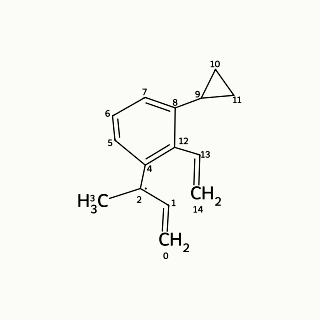 C=C[C](C)c1cccc(C2CC2)c1C=C